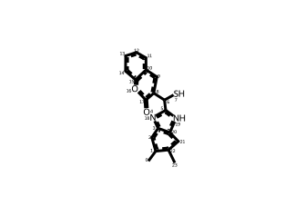 Cc1cc2nc(C(S)c3cc4ccccc4oc3=O)[nH]c2cc1C